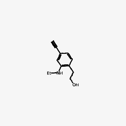 C#Cc1ccc(CCO)c(NCC)c1